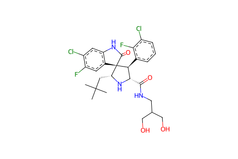 CC(C)(C)C[C@H]1N[C@@H](C(=O)NCC(CO)CO)[C@H](c2cccc(Cl)c2F)[C@@]12C(=O)Nc1cc(Cl)c(F)cc12